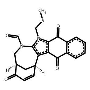 CSCn1c2c(c3c1N(C=O)C[C@H]1C[C@@H]3C=CC1=O)C(=O)c1ccccc1C2=O